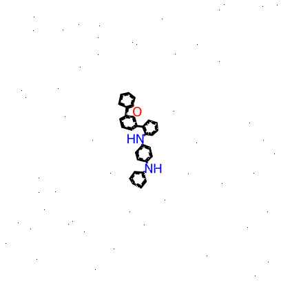 c1ccc(Nc2ccc(Nc3ccccc3-c3cccc4c3oc3ccccc34)cc2)cc1